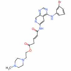 CN1CCN(CCOC(=O)CC=CC(=O)Nc2cc3c(Nc4cccc(Br)c4)ncnc3cn2)CC1